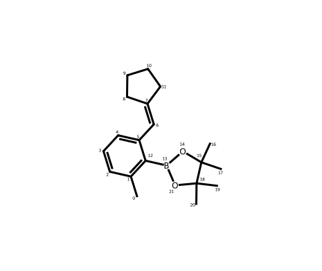 Cc1cccc(C=C2CCCC2)c1B1OC(C)(C)C(C)(C)O1